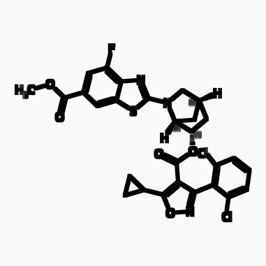 COC(=O)c1cc(F)c2nc(N3C[C@@H]4C[C@H](OC(=O)c5c(-c6c(Cl)cccc6Cl)noc5C5CC5)[C@H]3C4)sc2c1